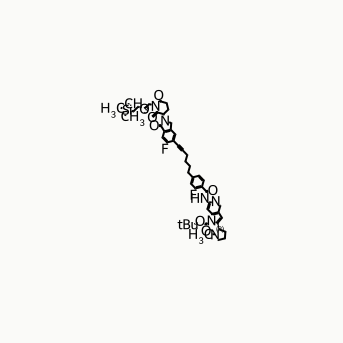 CN1CCC[C@@H]1c1cc2cnc(NC(=O)c3ccc(CCCCC#Cc4cc5c(cc4F)C(=O)N(C4CCC(=O)N(COCC[Si](C)(C)C)C4=O)C5)cc3F)cc2n1C(=O)OC(C)(C)C